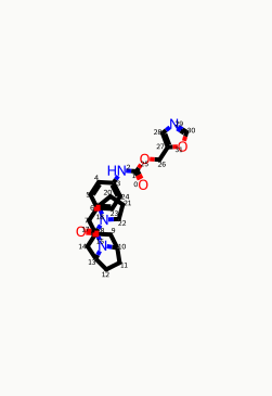 O=C(Nc1ccc(CC2CC3CCC(C2)N3C(=O)N2CCCC2)cc1)OCc1cnco1